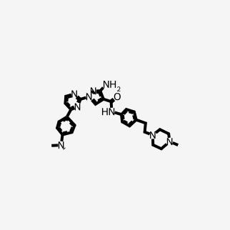 CN1CCN(CCc2ccc(NC(=O)c3cn(-c4nccc(-c5ccc(N(C)C)cc5)n4)nc3N)cc2)CC1